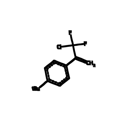 C=C(c1ccc(C(C)(C)C)cc1)C(F)(F)Cl